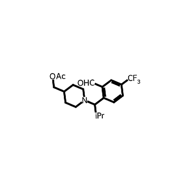 CC(=O)OCC1CCN(C(c2ccc(C(F)(F)F)cc2C=O)C(C)C)CC1